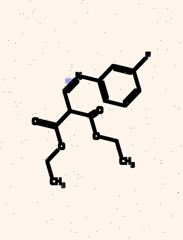 CCOC(=O)C(/C=N\c1cccc(F)c1)C(=O)OCC